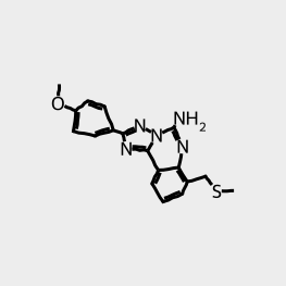 COc1ccc(-c2nc3c4cccc(CSC)c4nc(N)n3n2)cc1